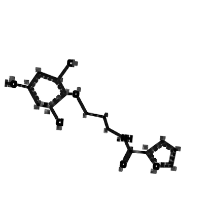 O=C(NCCCOc1c(Cl)cc(O)cc1Cl)c1ccco1